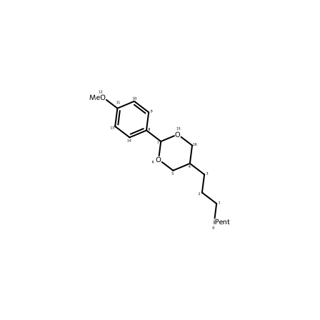 CCCC(C)CCCC1COC(c2ccc(OC)cc2)OC1